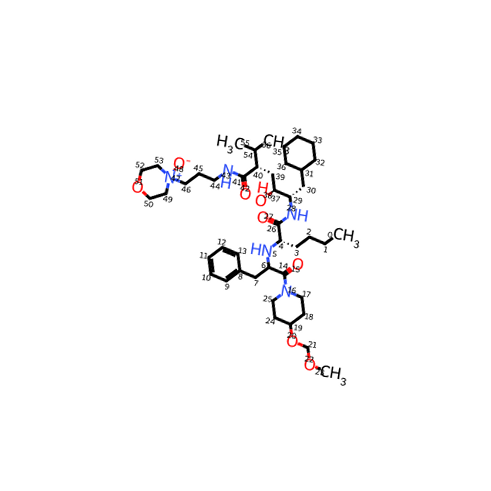 CCCC[C@H](NC(Cc1ccccc1)C(=O)N1CCC(OCOC)CC1)C(=O)N[C@@H](CC1CCCCC1)[C@@H](O)C[C@H](C(=O)NCCC[N+]1([O-])CCOCC1)C(C)C